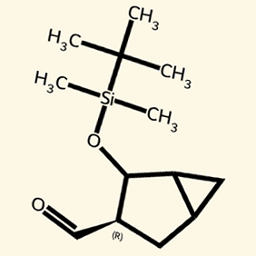 CC(C)(C)[Si](C)(C)OC1C2CC2C[C@H]1C=O